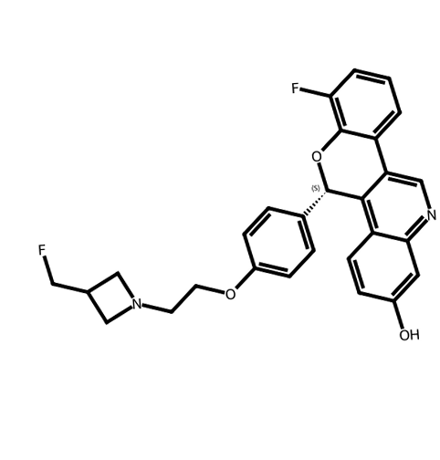 Oc1ccc2c3c(cnc2c1)-c1cccc(F)c1O[C@H]3c1ccc(OCCN2CC(CF)C2)cc1